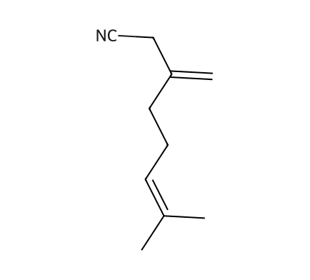 C=C(CC#N)CCC=C(C)C